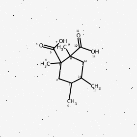 CC1CC(C)(C(=O)O)C(C)(C(=O)O)CC1C